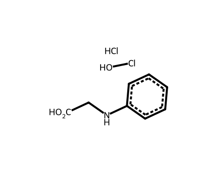 Cl.O=C(O)CNc1ccccc1.OCl